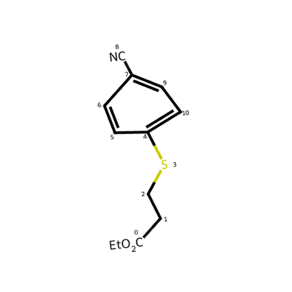 CCOC(=O)CCSc1ccc(C#N)cc1